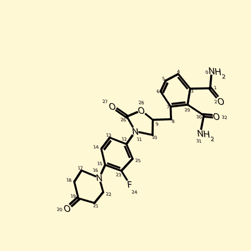 NC(=O)c1cccc(CC2CN(c3ccc(N4CCC(=O)CC4)c(F)c3)C(=O)O2)c1C(N)=O